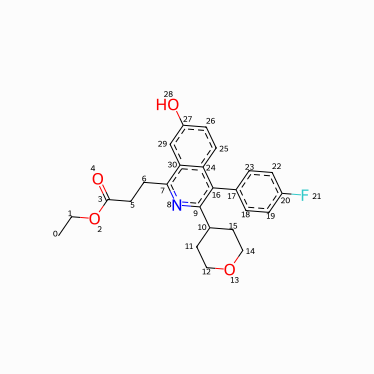 CCOC(=O)CCc1nc(C2CCOCC2)c(-c2ccc(F)cc2)c2ccc(O)cc12